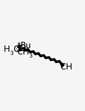 C#CCCCCCCCCCCCCCCO[Si](C)(C)C(C)(C)C